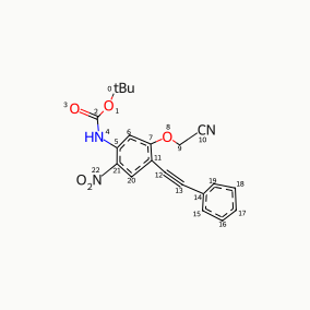 CC(C)(C)OC(=O)Nc1cc(OCC#N)c(C#Cc2ccccc2)cc1[N+](=O)[O-]